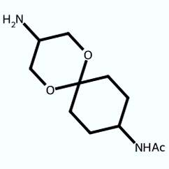 CC(=O)NC1CCC2(CC1)OCC(N)CO2